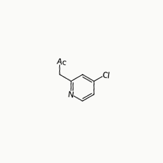 CC(=O)Cc1cc(Cl)ccn1